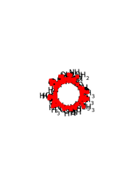 CCCC[C@H]1C(=O)N(C)CC(=O)N[C@@H](CC(O)=P)C(=O)N[C@@H](C(C)C)C(=O)N(C)[C@@H](Cc2ccccc2)C(=O)N[C@@H](Cc2ccc(O)cc2)C(=O)N(C)CC(=O)N[C@@H](Cc2c[nH]c3ccccc23)C(=O)N[C@@H](Cc2ccc(O)cc2)C(=O)N[C@@H](Cc2ccc(CN)cc2)C(=O)N[C@H](C(=O)NCC(N)=O)CSCC(=O)N[C@@H](Cc2ccccc2)C(=O)N(C)[C@@H](Cc2ccccc2)C(=O)N1C